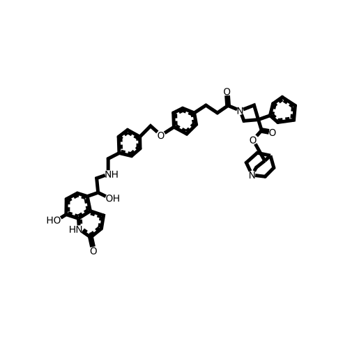 O=C(CCc1ccc(OCc2ccc(CNCC(O)c3ccc(O)c4[nH]c(=O)ccc34)cc2)cc1)N1CC(C(=O)OC2CN3CCC2CC3)(c2ccccc2)C1